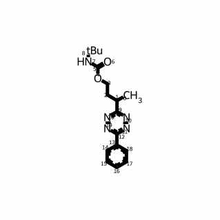 CC(CCOC(=O)NC(C)(C)C)c1nnc(-c2ccccc2)nn1